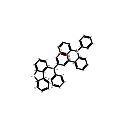 c1ccc(N(c2ccccc2)c2ccccc2-c2cccc(N(c3ccccc3)c3cccc4sc5ccccc5c34)c2)cc1